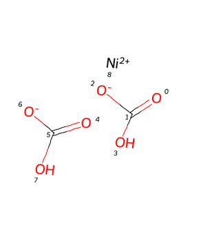 O=C([O-])O.O=C([O-])O.[Ni+2]